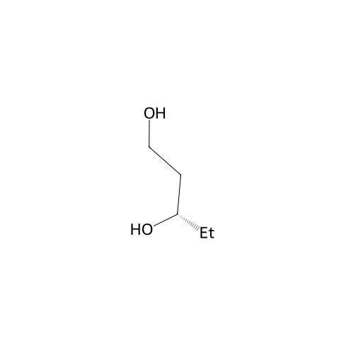 CC[C@H](O)CCO